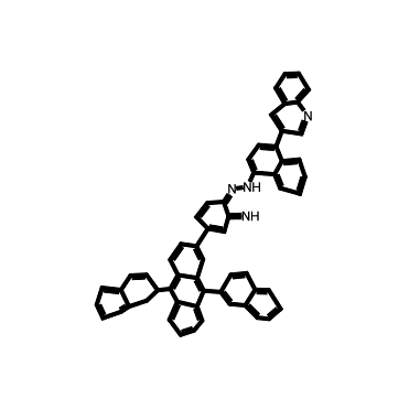 N=C1C=C(c2ccc3c(C4C=Cc5ccccc5C4)c4ccccc4c(-c4ccc5ccccc5c4)c3c2)C=C/C1=N/Nc1ccc(-c2cnc3ccccc3c2)c2ccccc12